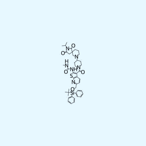 CNC(=O)Nc1sc2nc(CO[Si](c3ccccc3)(c3ccccc3)C(C)(C)C)ccc2c1C(=O)N1CCC(N2CCCC3(CC(=O)N(C(C)C)C3=O)C2)CC1